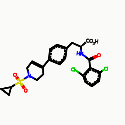 O=C(N[C@@H](Cc1ccc(C2=CCN(S(=O)(=O)C3CC3)CC2)cc1)C(=O)O)c1c(Cl)cccc1Cl